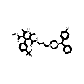 COC(=O)C1=C(C)NC(C)=C(C(=O)NCCCN2CCN(C(c3ccccc3)c3ccc(Cl)cc3)CC2)C1c1cccc(C(F)(F)F)c1